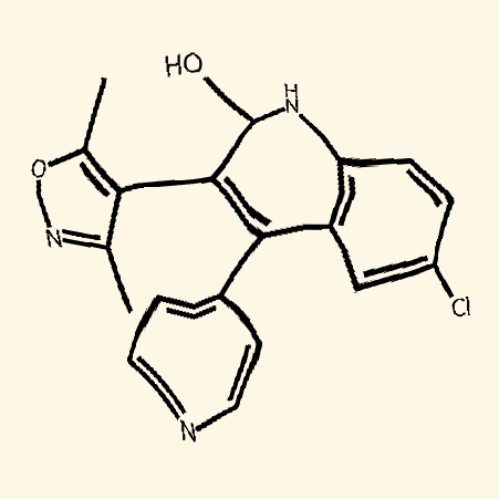 Cc1noc(C)c1C1=C(c2ccncc2)c2cc(Cl)ccc2NC1O